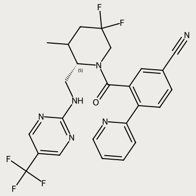 CC1CC(F)(F)CN(C(=O)c2cc(C#N)ccc2-c2ccccn2)[C@@H]1CNc1ncc(C(F)(F)F)cn1